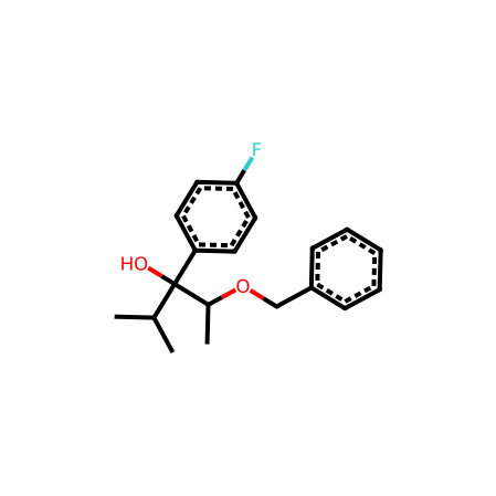 CC(C)C(O)(c1ccc(F)cc1)C(C)OCc1ccccc1